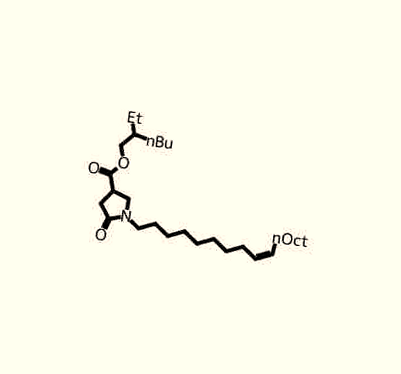 CCCCCCCC/C=C\CCCCCCCCN1CC(C(=O)OCC(CC)CCCC)CC1=O